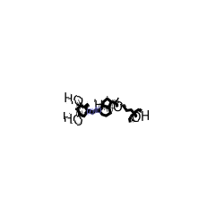 C=C1/C(=C\C=C2/CCC[C@]3(C)C([C@@H](C)OCCCC(O)(CC)CC)CC[C@@H]23)C[C@@H](O)C[C@@H]1O